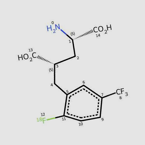 N[C@@H](C[C@H](Cc1cc(C(F)(F)F)ccc1[18F])C(=O)O)C(=O)O